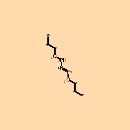 CCCOP=NPOCCC